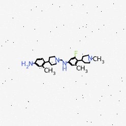 Cc1cc(N)ccc1C1CCN(CNc2cc(C)c(C3CCN(C)CC3)c(F)c2)CC1